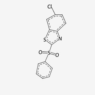 O=S(=O)(c1ccccc1)c1nc2ccc(Cl)cc2s1